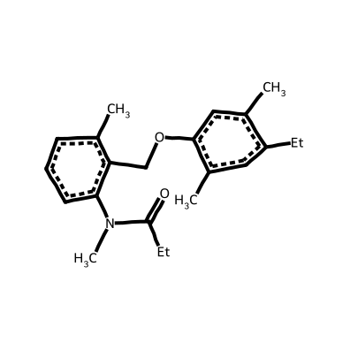 CCC(=O)N(C)c1cccc(C)c1COc1cc(C)c(CC)cc1C